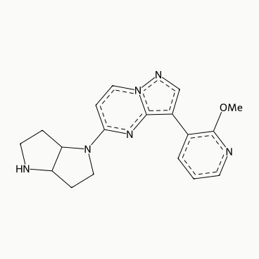 COc1ncccc1-c1cnn2ccc(N3CCC4NCCC43)nc12